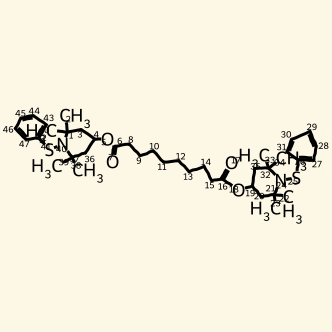 CC1(C)CC(OC(=O)CCCCCCCCC(=O)OC2CC(C)(C)N(Sc3ccccc3)C(C)(C)C2)CC(C)(C)N1Sc1ccccc1